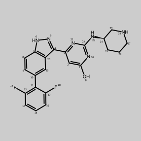 Oc1cc(-c2n[nH]c3ccc(-c4c(F)cccc4F)cc23)nc(N[C@@H]2CCCNC2)n1